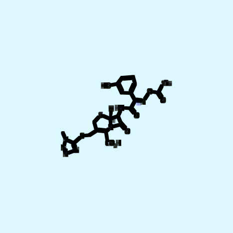 Cn1nnnc1SCC1=C(C(=O)O)N2C(=O)C(NC(=O)/C(=N/OC(=O)C(C)(C)C)c3cccc(O)c3)[C@H]2SC1